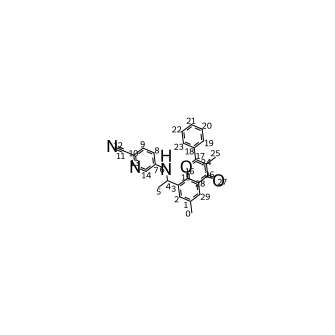 Cc1cc(C(C)Nc2ccc(C#N)nc2)c2oc(-c3ccccc3)c(C)c(=O)c2c1